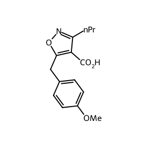 CCCc1noc(Cc2ccc(OC)cc2)c1C(=O)O